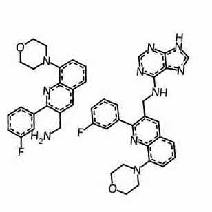 Fc1cccc(-c2nc3c(N4CCOCC4)cccc3cc2CNc2ncnc3[nH]cnc23)c1.NCc1cc2cccc(N3CCOCC3)c2nc1-c1cccc(F)c1